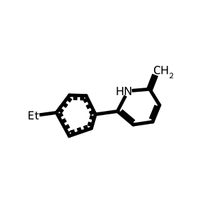 C=C1C=CC=C(c2ccc(CC)cc2)N1